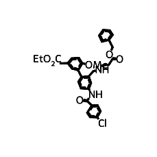 CCOC(=O)Cc1ccc(OC)c(-c2ccc(NC(=O)c3ccc(Cl)cc3)cc2CNCCC(=O)OCc2ccccc2)c1